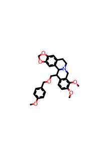 COc1ccc(COCC2c3ccc(OC)c(OC)c3CN3CCc4cc5c(cc4C23)OCO5)cc1